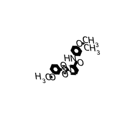 COc1cccc(S(=O)(=O)N2CC3CCC2C(C(=O)Nc2ccc(OC(C)C)cc2)C3)c1